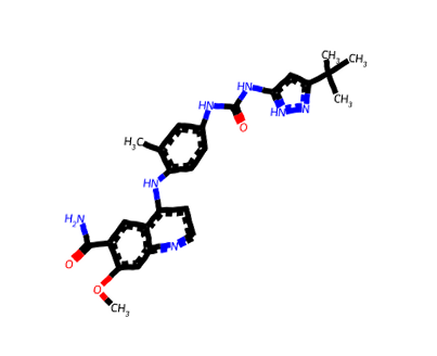 COc1cc2nccc(Nc3ccc(NC(=O)Nc4cc(C(C)(C)C)n[nH]4)cc3C)c2cc1C(N)=O